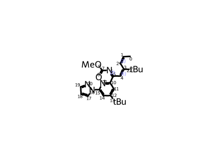 C\C=C/C(=C\C(=N\C(=O)OC)c1cc(C(C)(C)C)cc(-n2cccn2)n1)C(C)(C)C